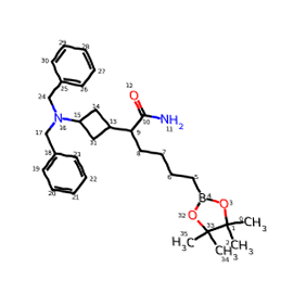 CC1(C)OB(CCCCC(C(N)=O)C2CC(N(Cc3ccccc3)Cc3ccccc3)C2)OC1(C)C